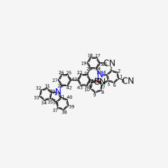 N#Cc1ccc2c(c1)c1ccccc1n2-c1c(C#N)cccc1-c1cc(-c2cccc(-n3c4ccccc4c4ccccc43)c2)ccc1C#N